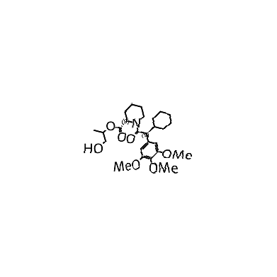 COc1cc([C@@H](C(=O)N2CCCC[C@H]2C(=O)OC(C)CO)C2CCCCC2)cc(OC)c1OC